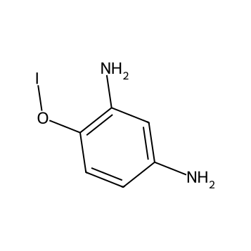 Nc1ccc(OI)c(N)c1